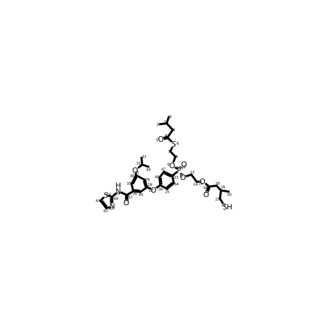 CC(C)CC(=O)SCCOP(=O)(OCCOC(=O)CC(C)CS)c1ccc(Oc2cc(OC(C)C)cc(C(=O)Nc3nccs3)c2)cc1